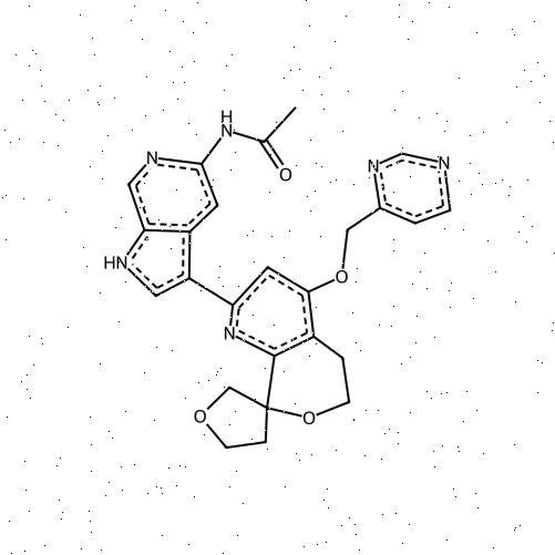 CC(=O)Nc1cc2c(-c3cc(OCc4ccncn4)c4c(n3)C3(CCOC3)OCC4)c[nH]c2cn1